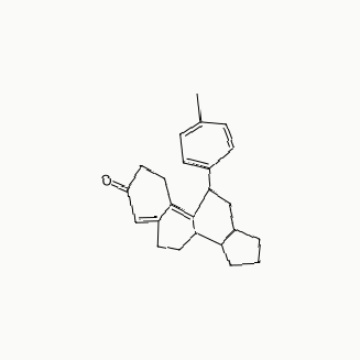 Cc1ccc(C2CC3CCCC3C3CCC4=CC(=O)CCC4=C23)cc1